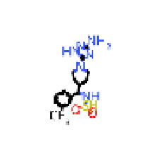 Nc1n[nH]c(N2CCC(C(N[SH](=O)=O)c3cccc(C(F)(F)F)c3)CC2)n1